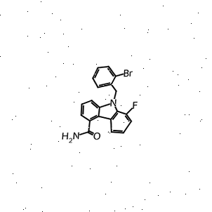 NC(=O)c1cccc2c1c1[c]ccc(F)c1n2Cc1ccccc1Br